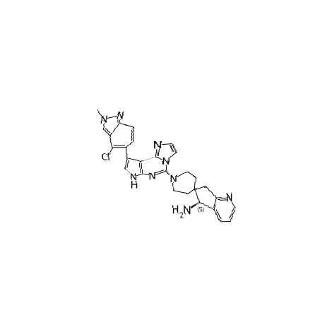 Cn1cc2c(Cl)c(-c3c[nH]c4nc(N5CCC6(CC5)Cc5ncccc5[C@H]6N)n5ccnc5c34)ccc2n1